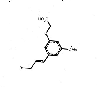 COc1cc(C=CCBr)cc(OCC(=O)O)c1